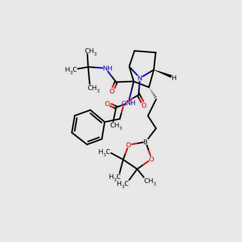 CC(=O)NC1(C(=O)NC(C)(C)C)C2CC[C@H]([C@@H]1CCCB1OC(C)(C)C(C)(C)O1)N2C(=O)OCc1ccccc1